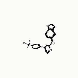 FC(F)(F)c1ccc(-c2ccnc(Oc3ccc4[nH]ccc4c3)c2)cc1